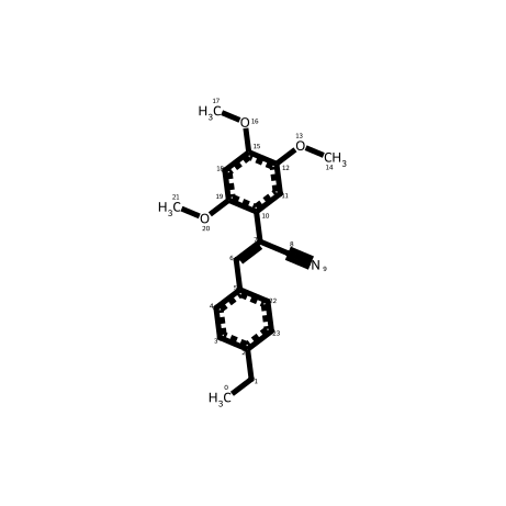 CCc1ccc(C=C(C#N)c2cc(OC)c(OC)cc2OC)cc1